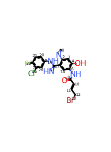 C=Nc1cc(O)c(NC(=O)/C=C/CBr)cc1C(=N)Nc1ccc(F)c(Cl)c1